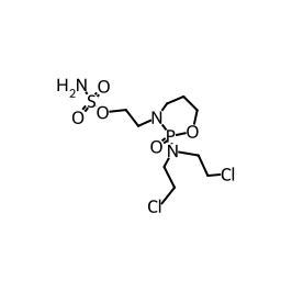 NS(=O)(=O)OCCN1CCCOP1(=O)N(CCCl)CCCl